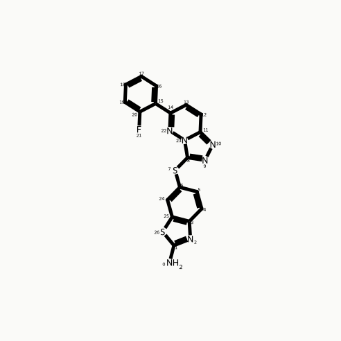 Nc1nc2ccc(Sc3nnc4ccc(-c5ccccc5F)nn34)cc2s1